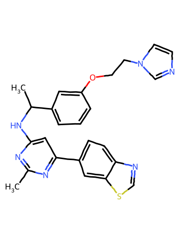 Cc1nc(NC(C)c2cccc(OCCn3ccnc3)c2)cc(-c2ccc3ncsc3c2)n1